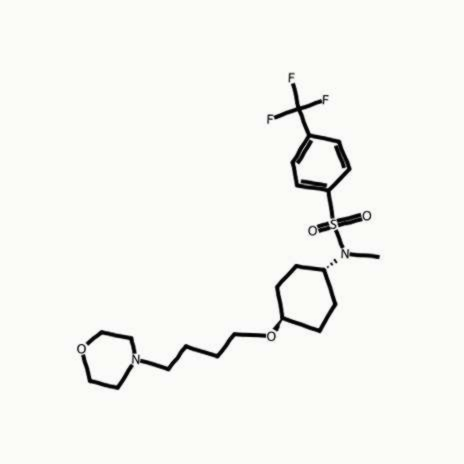 CN([C@H]1CC[C@H](OCCCCN2CCOCC2)CC1)S(=O)(=O)c1ccc(C(F)(F)F)cc1